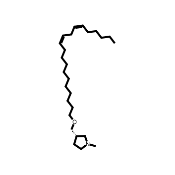 CCCCC/C=C\C/C=C\CCCCCCCCCCOC[C@H]1CCN(C)C1